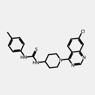 Cc1ccc(NC(=S)NC2CCN(c3ncnc4cc(Cl)ccc34)CC2)cc1